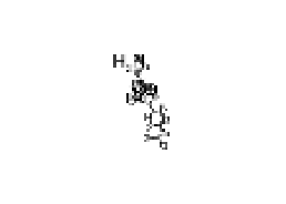 CC(C)Cc1ccc(C(C=O)CS(=O)(=O)OCCCN)cc1